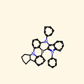 c1ccc(N2c3cccc4c3B(c3cccc5c3N4C3CCCCC53)c3c2c2ccccc2n3-c2ccccc2)cc1